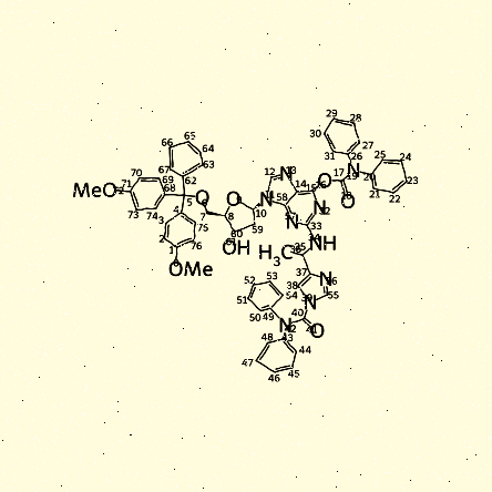 COc1ccc(C(OC[C@H]2O[C@@H](n3cnc4c(OC(=O)N(c5ccccc5)c5ccccc5)nc(NC(C)c5cn(C(=O)N(c6ccccc6)c6ccccc6)cn5)nc43)C[C@@H]2O)(c2ccccc2)c2ccc(OC)cc2)cc1